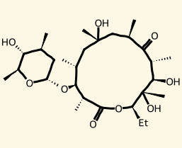 CC[C@H]1OC(=O)[C@H](C)[C@@H](O[C@H]2C[C@H](C)[C@@H](O)[C@H](C)O2)[C@H](C)C[C@](C)(O)C[C@@H](C)C(=O)[C@H](C)[C@@H](O)[C@]1(C)O